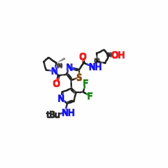 C[C@H]1CCCN1C(=O)c1nc(C(=O)N[C@H]2CC[C@H](O)C2)sc1-c1cnc(NC(C)(C)C)cc1C(F)F